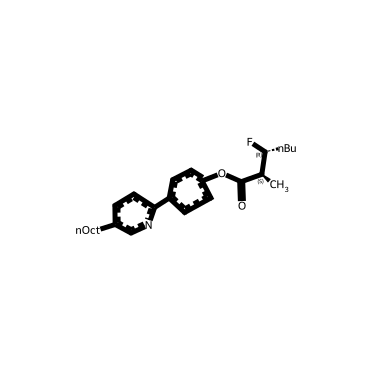 CCCCCCCCc1ccc(-c2ccc(OC(=O)[C@H](C)[C@H](F)CCCC)cc2)nc1